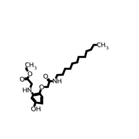 CCCCCCCCCCCCNC(=O)COc1ccc(O)cc1NCC(=O)OCC